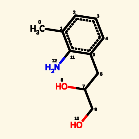 Cc1cccc(CC(O)CO)c1N